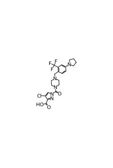 O=C(O)c1nn(C(=O)N2CCN(Cc3ccc(N4CCCC4)cc3C(F)(F)F)CC2)cc1Cl